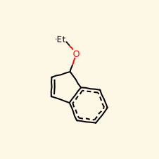 C[CH]OC1C=Cc2ccccc21